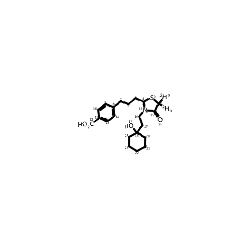 [2H]C1([2H])SC(CCCc2ccc(C(=O)O)cc2)N(CCC2(O)CCCCC2)C1=O